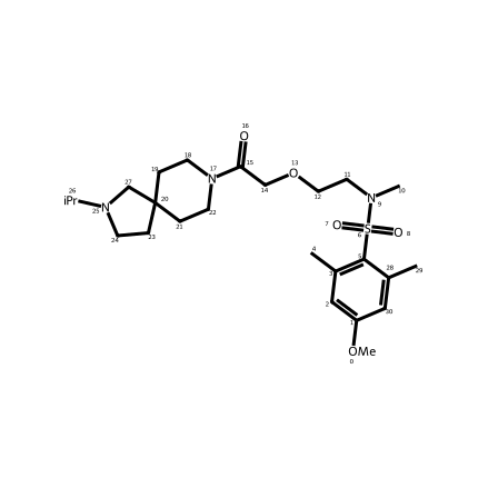 COc1cc(C)c(S(=O)(=O)N(C)CCOCC(=O)N2CCC3(CC2)CCN(C(C)C)C3)c(C)c1